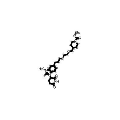 Cn1c(=O)n(C2CCC(=O)NC2=O)c2ccc(CCCOCCOCC3CCN(C(=O)OC(C)(C)C)CC3)cc21